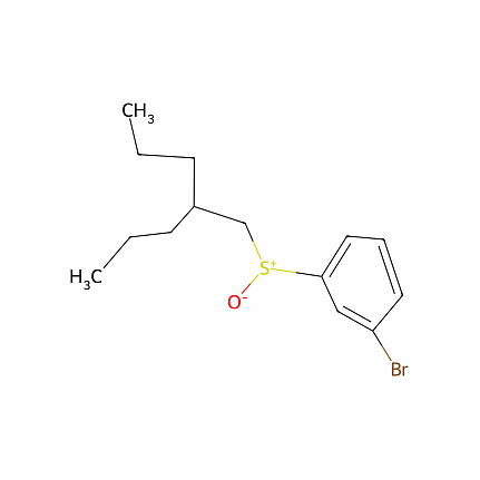 CCCC(CCC)C[S+]([O-])c1cccc(Br)c1